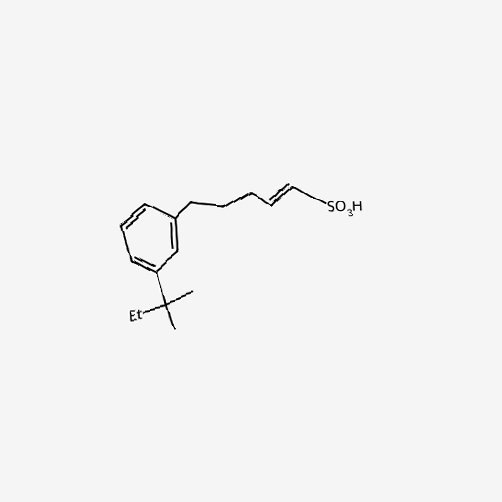 CCC(C)(C)c1cccc(CCCC=CS(=O)(=O)O)c1